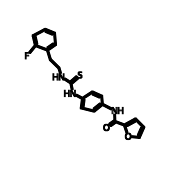 O=C(Nc1ccc(NC(=S)NCCc2ccccc2F)cc1)c1ccco1